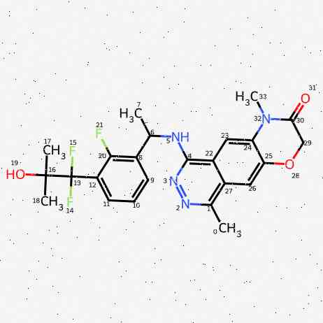 Cc1nnc(NC(C)c2cccc(C(F)(F)C(C)(C)O)c2F)c2cc3c(cc12)OCC(=O)N3C